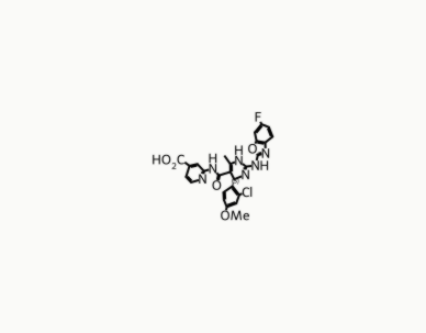 COc1ccc([C@H]2N=C(Nc3nc4ccc(F)cc4o3)NC(C)=C2C(=O)Nc2cc(C(=O)O)ccn2)c(Cl)c1